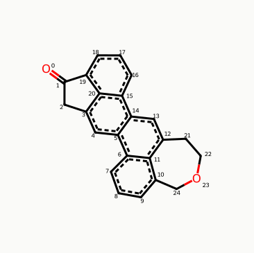 O=C1Cc2cc3c4cccc5c4c(cc3c3cccc1c23)CCOC5